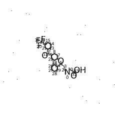 CN(CCC(Oc1ccc(C(=O)c2cccc(C(F)(F)F)c2)cc1)c1ccccc1)CC(=O)O